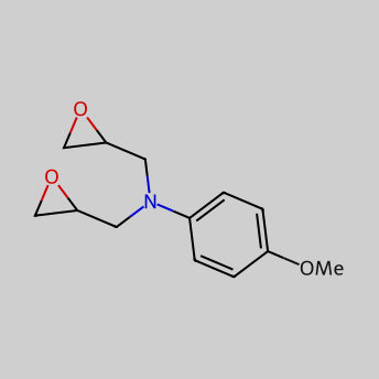 COc1ccc(N(CC2CO2)CC2CO2)cc1